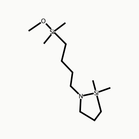 CO[Si](C)(C)CCCCN1CCC[Si]1(C)C